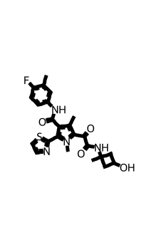 Cc1cc(NC(=O)c2c(C)c(C(=O)C(=O)NC3(C)CC(O)C3)n(C)c2-c2nccs2)ccc1F